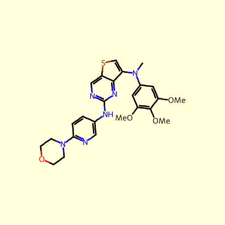 COc1cc(N(C)c2csc3cnc(Nc4ccc(N5CCOCC5)nc4)nc23)cc(OC)c1OC